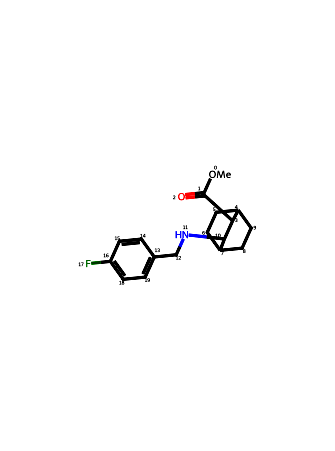 COC(=O)C1C2CCC(CC2)C1NCc1ccc(F)cc1